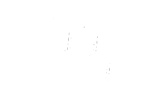 [N]=Nc1ccc(C(=O)O)cc1